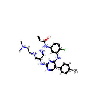 C=CC(=O)Nc1ccc(F)c(Nc2nc(N/C(C=N)=C/NCCN(C)C)ncc2-c2ccc(C(F)(F)F)cc2)c1